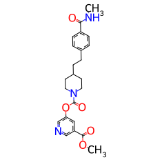 CNC(=O)c1ccc(CCC2CCN(C(=O)Oc3cncc(C(=O)OC)c3)CC2)cc1